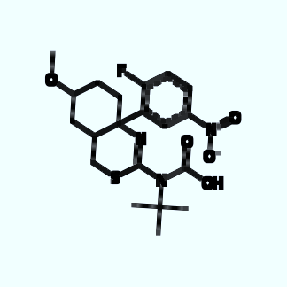 COC1CCC2(c3cc([N+](=O)[O-])ccc3F)N=C(N(C(=O)O)C(C)(C)C)SCC2C1